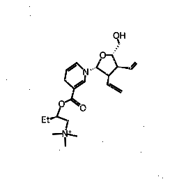 C=C[C@@H]1[C@H](C=C)[C@@H](CO)O[C@H]1N1C=CCC(C(=O)O[C@H](CC)C[N+](C)(C)C)=C1